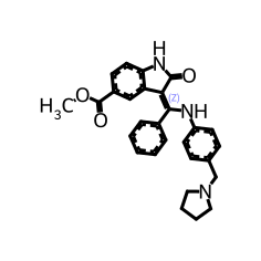 COC(=O)c1ccc2c(c1)/C(=C(/Nc1ccc(CN3CCCC3)cc1)c1ccccc1)C(=O)N2